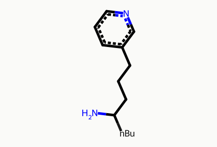 CCCCC(N)CCCc1cccnc1